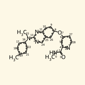 CNC(=O)c1cc(Oc2ccc3nc(N(C)c4ccc(C)cc4)ncc3c2)ccn1